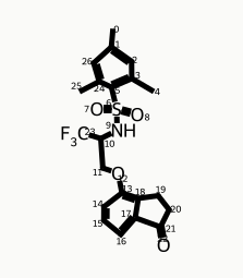 Cc1cc(C)c(S(=O)(=O)NC(COc2cccc3c2CCC3=O)C(F)(F)F)c(C)c1